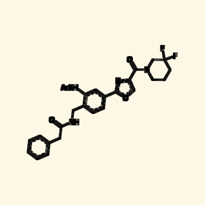 CC(=O)Nc1cc(-c2nc(C(=O)N3CCCC(F)(F)C3)co2)ccc1CNC(=O)Cc1ccccc1